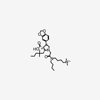 CCCCN(CCCC[N+](C)(C)C)C(=O)CN1C[C@H](c2ccc3c(c2)OCO3)[C@@H](C(=O)O)[C@@H]1CC(C)(C)CCC